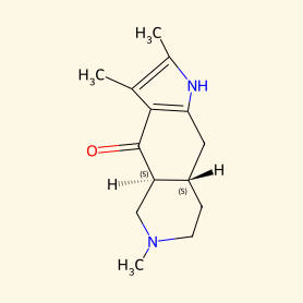 Cc1[nH]c2c(c1C)C(=O)[C@@H]1CN(C)CC[C@H]1C2